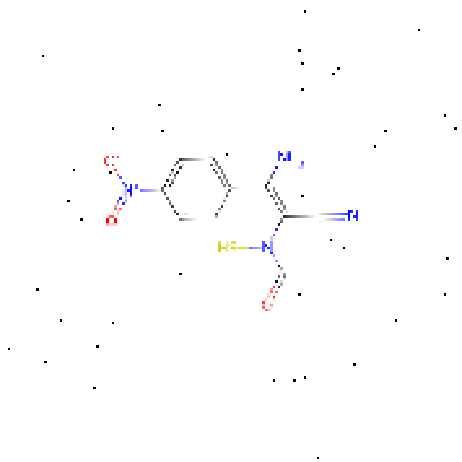 N#CC(=C(N)c1ccc([N+](=O)[O-])cc1)N(S)C=O